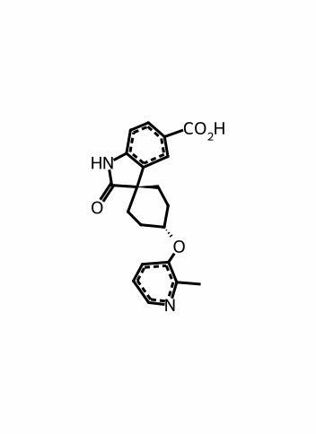 Cc1ncccc1O[C@H]1CC[C@@]2(CC1)C(=O)Nc1ccc(C(=O)O)cc12